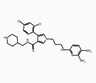 Nc1nc(NCCCn2cc(C(=O)NCC3CCNCC3)c(-c3ccc(Cl)cc3Cl)c2)ccc1[N+](=O)[O-]